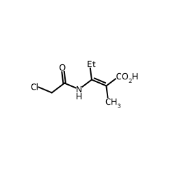 CC/C(NC(=O)CCl)=C(/C)C(=O)O